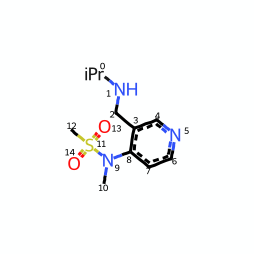 CC(C)NCc1cnccc1N(C)S(C)(=O)=O